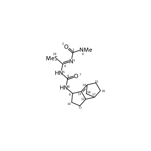 CNC(=O)N=C(NC(=O)NC1CCC2C1=C1CCC2C1)SC